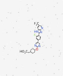 O=C(O)CC1CCC(Oc2ncc(-c3ccc(-c4nc5ncc(C(F)(F)F)cc5[nH]4)c(F)c3)cn2)CC1